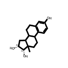 CC12CCC3c4ccc(O)cc4CCC3C1C[C@@H](O)[C@H]2O